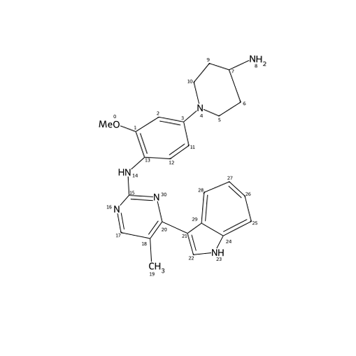 COc1cc(N2CCC(N)CC2)ccc1Nc1ncc(C)c(-c2c[nH]c3ccccc23)n1